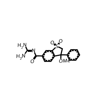 COC1(c2ccccc2)CS(=O)(=O)c2cc(C(=O)N=C(N)N)ccc21